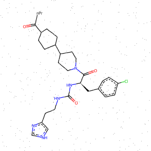 CCCC(=O)C1CCC(C2CCN(C(=O)[C@@H](Cc3ccc(Cl)cc3)NC(=O)NCCc3c[nH]cn3)CC2)CC1